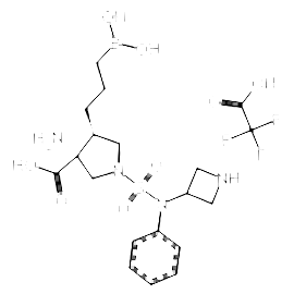 N[C@@]1(C(=O)O)CN(S(=O)(=O)N(c2ccccc2)C2CNC2)C[C@@H]1CCCB(O)O.O=C(O)C(F)(F)F